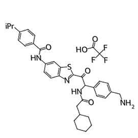 CC(C)c1ccc(C(=O)Nc2ccc3nc(C(=O)C(NC(=O)CC4CCCCC4)c4ccc(CN)cc4)sc3c2)cc1.O=C(O)C(F)(F)F